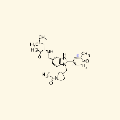 C/C=C(\C=C(\C)C=O)C1Nc2cc(CNC(CC(C)C)C(=O)O)ccc2N1CC1CCN(C(C)=O)C1